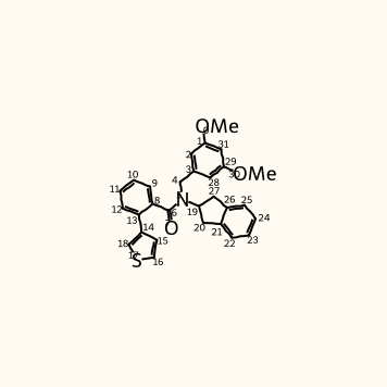 COc1cc(CN(C(=O)c2ccccc2-c2ccsc2)C2Cc3ccccc3C2)cc(OC)c1